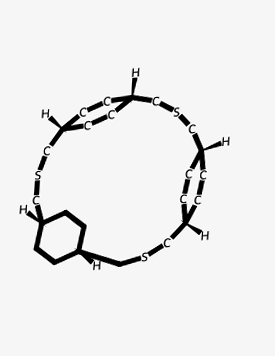 C1C[C@H]2CC[C@@H]1CSC[C@@H]1CC[C@@H](CC1)CSC[C@@H]1CC[C@@H](CC1)CSC2